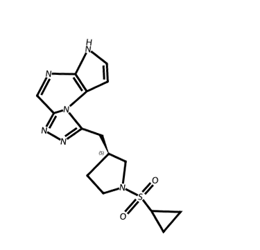 O=S(=O)(C1CC1)N1CC[C@@H](Cc2nnc3cnc4[nH]ccc4n23)C1